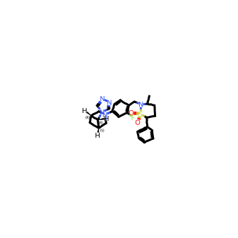 CC1CCC(c2ccccc2)S(=O)(=O)N1Cc1ccc(N2C[C@H]3C[C@@H](C2)[C@H]3n2cnnc2)cc1F